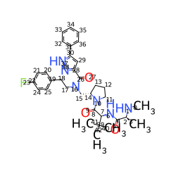 CN[C@@H](C)C(=O)N[C@H](C(=O)N1CCC[C@H]1CN(CCc1ccc(F)cc1)C(=O)c1cc(-c2ccccc2)[nH]n1)C(C)(C)C